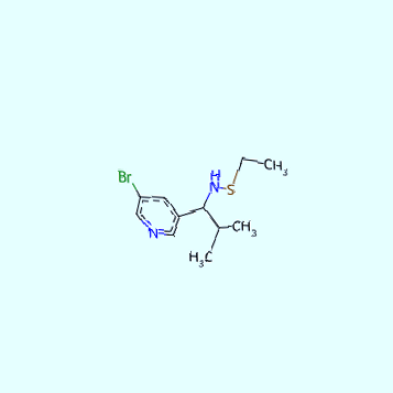 CCSNC(c1cncc(Br)c1)C(C)C